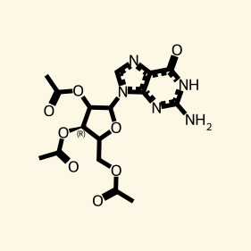 CC(=O)OCC1OC(n2cnc3c(=O)[nH]c(N)nc32)C(OC(C)=O)[C@@H]1OC(C)=O